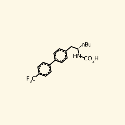 CCCC[C@@H](Cc1ccc(-c2ccc(C(F)(F)F)cc2)cc1)NC(=O)O